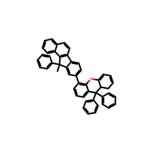 CC1(c2ccccc2)c2cc(-c3cccc4c3OC3=CC=CCC3C4(c3ccccc3)c3ccccc3)ccc2-c2ccc3ccccc3c21